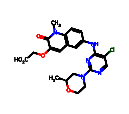 C[C@H]1CN(c2ncc(Cl)c(Nc3ccc4c(c3)cc(OCC(=O)O)c(=O)n4C)n2)CCO1